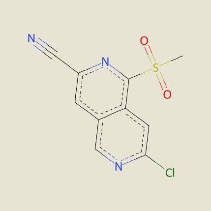 CS(=O)(=O)c1nc(C#N)cc2cnc(Cl)cc12